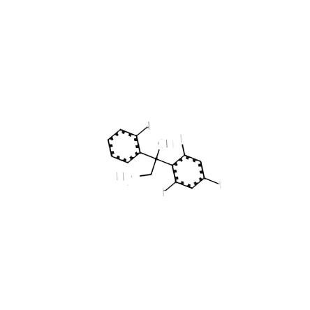 [CH2]CC(C)(c1ccccc1I)c1c(I)cc(I)cc1I